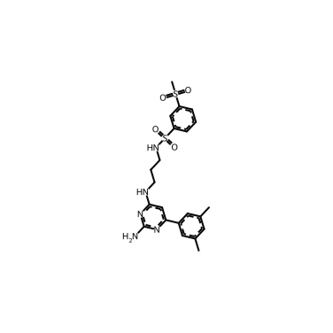 Cc1cc(C)cc(-c2cc(NCCCNS(=O)(=O)c3cccc(S(C)(=O)=O)c3)nc(N)n2)c1